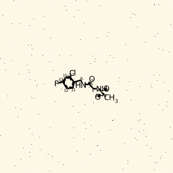 CS(=O)(=O)NCC(=O)NCc1ccc(F)cc1Cl